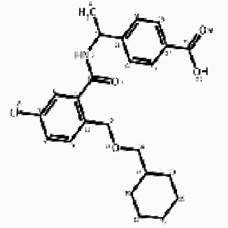 CC(NC(=O)c1cc(Cl)ccc1COCC1CCCCC1)c1ccc(C(=O)O)cc1